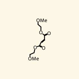 COCCOC(=O)C=CC(=O)OCCOC